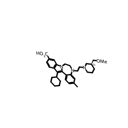 COC[C@H]1CCCN(CCN2CCn3c(c(C4CCCCC4)c4ccc(C(=O)O)cc43)-c3ccc(C)cc32)C1